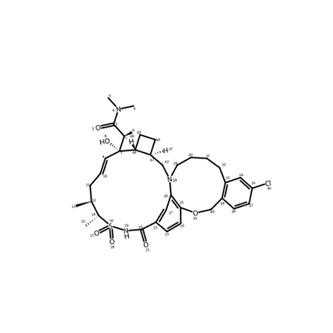 C[C@H](C(=O)N(C)C)[C@]1(O)/C=C/C[C@H](C)[C@@H](C)S(=O)(=O)NC(=O)c2ccc3c(c2)N(CCCCc2cc(Cl)ccc2CO3)C[C@@H]2CC[C@H]21